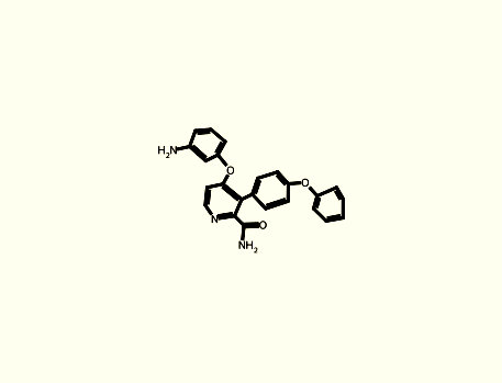 NC(=O)c1nccc(Oc2cccc(N)c2)c1-c1ccc(Oc2ccccc2)cc1